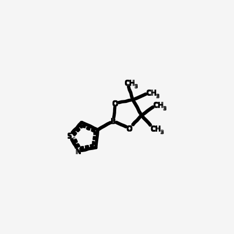 CC1(C)OB(c2cnsc2)OC1(C)C